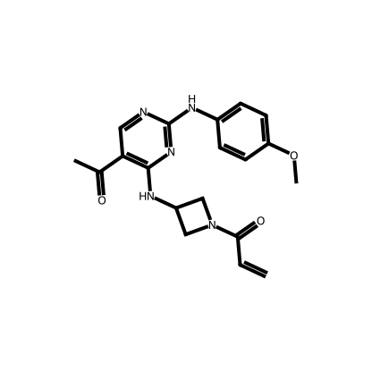 C=CC(=O)N1CC(Nc2nc(Nc3ccc(OC)cc3)ncc2C(C)=O)C1